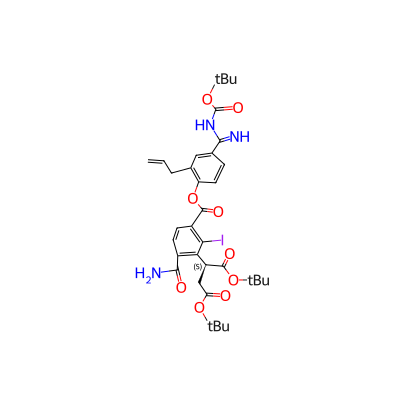 C=CCc1cc(C(=N)NC(=O)OC(C)(C)C)ccc1OC(=O)c1ccc(C(N)=O)c([C@H](CC(=O)OC(C)(C)C)C(=O)OC(C)(C)C)c1I